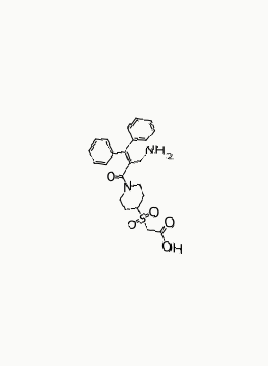 NCC(C(=O)N1CCC(S(=O)(=O)CC(=O)O)CC1)=C(c1ccccc1)c1ccccc1